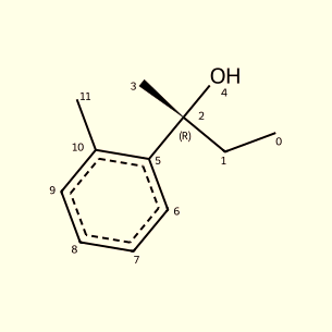 CC[C@@](C)(O)c1ccccc1C